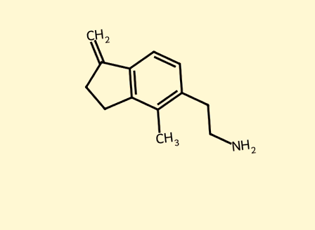 C=C1CCc2c1ccc(CCN)c2C